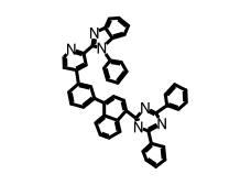 c1ccc(-c2nc(-c3ccccc3)nc(-c3ccc(-c4cccc(-c5ccnc(-c6nc7ccccc7n6-c6ccccc6)c5)c4)c4ccccc34)n2)cc1